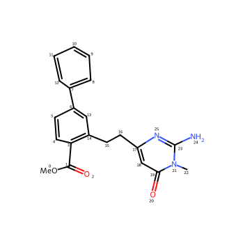 COC(=O)c1ccc(-c2ccccc2)cc1CCc1cc(=O)n(C)c(N)n1